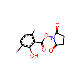 O=C(ON1C(=O)CCC1=O)c1c(I)ccc(I)c1O